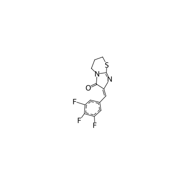 O=C1C(=Cc2cc(F)c(F)c(F)c2)N=C2SCCCN12